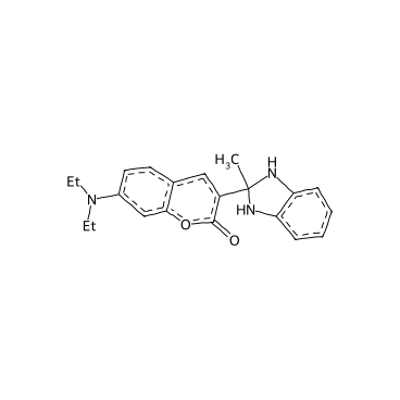 CCN(CC)c1ccc2cc(C3(C)Nc4ccccc4N3)c(=O)oc2c1